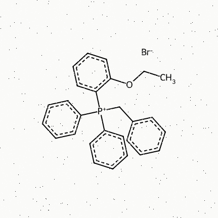 CCOc1ccccc1[P+](Cc1ccccc1)(c1ccccc1)c1ccccc1.[Br-]